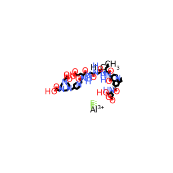 CCC(C)C(NC(=O)CNC(=O)CNC(=O)C(CCC(=O)O)NC(=O)CN1CCC(CN2CCN(CC(=O)O)CCN(CC(=O)O)CC2)CC1)C(=O)N[C@H]1CCn2ccc3c2C(=C[C@@H](C(=O)NC2CC(=O)OC2O)C3)C1=O.[Al+3].[F-].[F-].[F-]